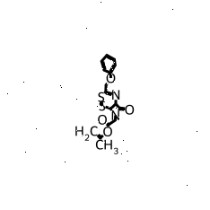 C=C(C)OC(=O)CN1C(=O)C2N=C(COc3ccccc3)SSC21